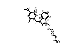 CSc1cc(C)c(/C=C2/C=C(CCON=CC=O)c3ccccc32)cc1F